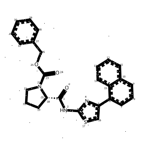 O=C(Nc1nc(-c2cccc3ccccc23)cs1)[C@@H]1CCCN1C(=O)OCc1ccccc1